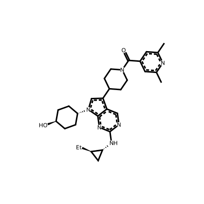 CC[C@@H]1C[C@H]1Nc1ncc2c(C3CCN(C(=O)c4cc(C)nc(C)c4)CC3)cn([C@H]3CC[C@H](O)CC3)c2n1